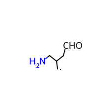 [CH2]C(CN)CC=O